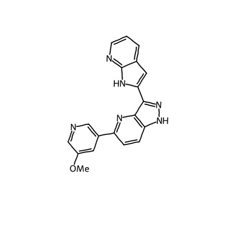 COc1cncc(-c2ccc3[nH]nc(-c4cc5cccnc5[nH]4)c3n2)c1